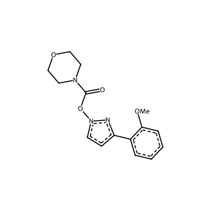 COc1ccccc1-c1ccn(OC(=O)N2CCOCC2)n1